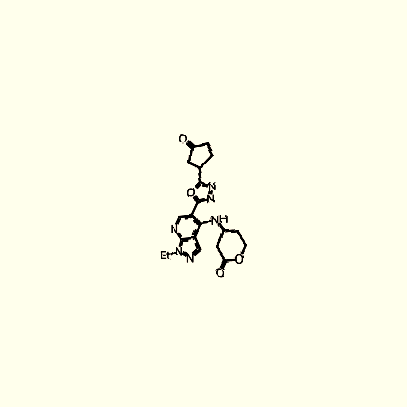 CCn1ncc2c(NC3CCOC(=O)C3)c(-c3nnc(C4CCC(=O)C4)o3)cnc21